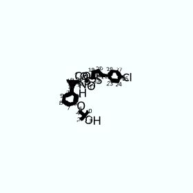 CC(C)(O)COc1cccc(C2CC2(NS(=O)(=O)c2ccc(-c3ccc(Cl)cc3)s2)C(=O)O)c1